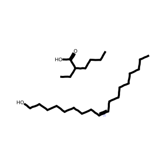 CCCCC(CC)C(=O)O.CCCCCCCC/C=C\CCCCCCCCO